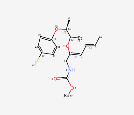 C/C=C/C=C(/CNC(=O)OC(C)(C)C)OC(CC)[C@H](C)Oc1ccc(F)cc1